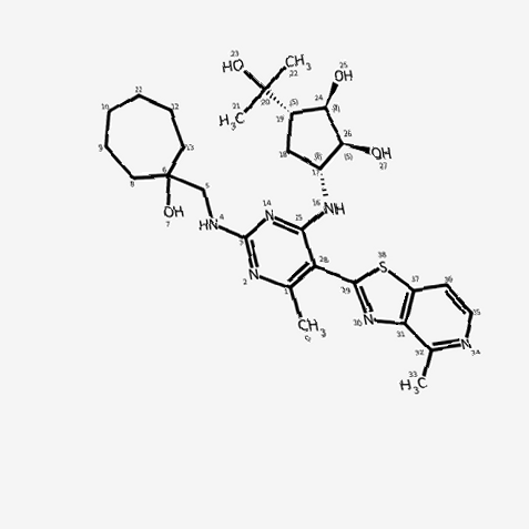 Cc1nc(NCC2(O)CCCCCC2)nc(N[C@@H]2C[C@H](C(C)(C)O)[C@@H](O)[C@H]2O)c1-c1nc2c(C)nccc2s1